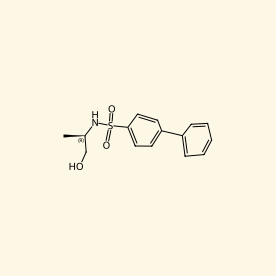 C[C@H](CO)NS(=O)(=O)c1ccc(-c2ccccc2)cc1